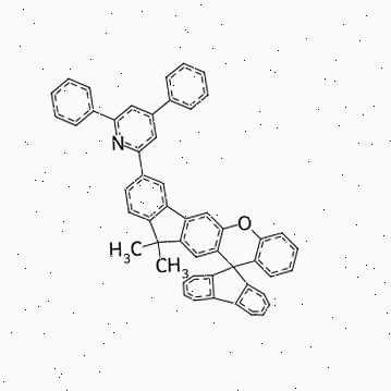 CC1(C)c2ccc(-c3cc(-c4ccccc4)cc(-c4ccccc4)n3)cc2-c2cc3c(cc21)C1(c2ccccc2O3)c2ccccc2-c2ccccc21